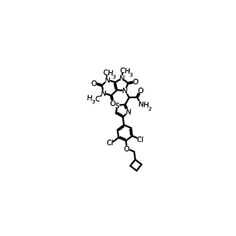 Cn1c(=O)c2c(n(C)c1=O)n(C)c(=O)n2C(C(N)=O)c1nc(-c2cc(Cl)c(OCC3CCC3)c(Cl)c2)cs1